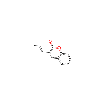 CC=Cc1cc2ccccc2oc1=O